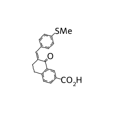 CSc1ccc(C=C2CCc3ccc(C(=O)O)cc3C2=O)cc1